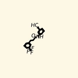 C#Cc1cccc(NC(=O)CCc2cccc(C(F)(F)F)c2)c1